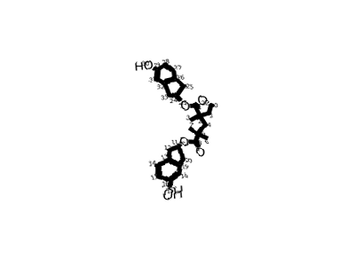 CCC(C)(CC(C)(C)C(=O)OC1Cc2ccc(O)cc2C1)C(=O)OC1Cc2ccc(O)cc2C1